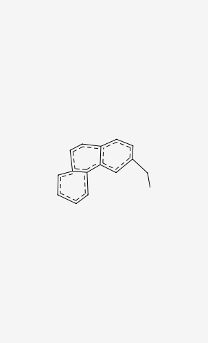 CCc1ccc2ccc3ccccc3c2c1